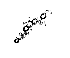 CN1CCC(N(C)c2ncc3c(n2)Nc2cc(NC(=O)Nc4cccs4)ccc2NC3=O)CC1